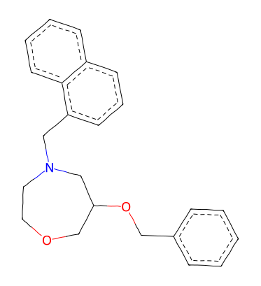 c1ccc(COC2COCCN(Cc3cccc4ccccc34)C2)cc1